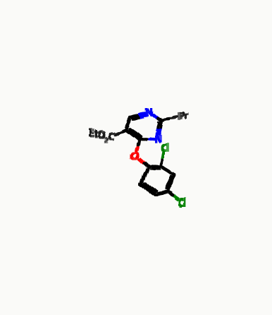 CCOC(=O)c1cnc(C(C)C)nc1Oc1ccc(Cl)cc1Cl